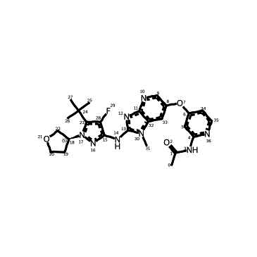 CC(=O)Nc1cc(Oc2cnc3nc(Nc4nn([C@H]5CCOC5)c(C(C)(C)C)c4F)n(C)c3c2)ccn1